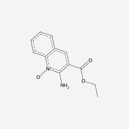 CCOC(=O)c1cc2ccccc2[n+]([O-])c1N